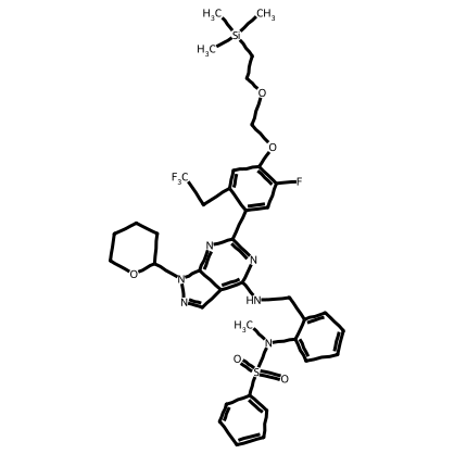 CN(c1ccccc1CNc1nc(-c2cc(F)c(OCOCC[Si](C)(C)C)cc2CC(F)(F)F)nc2c1cnn2C1CCCCO1)S(=O)(=O)c1ccccc1